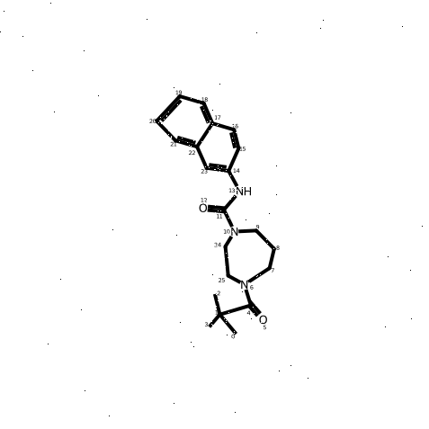 CC(C)(C)C(=O)N1CCCN(C(=O)Nc2ccc3ccccc3c2)CC1